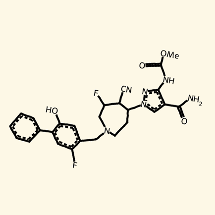 COC(=O)Nc1nn(C2CCN(Cc3cc(O)c(-c4ccccc4)cc3F)CC(F)C2C#N)cc1C(N)=O